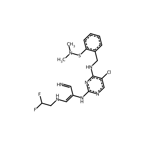 CN(C)Sc1ccccc1CNc1nc(N/C(C=N)=C/NCC(F)F)ncc1Cl